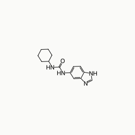 O=C(Nc1ccc2[nH]cnc2c1)NC1CCCCC1